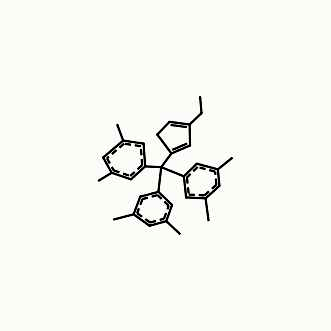 CCC1=CCC(C(c2cc(C)cc(C)c2)(c2cc(C)cc(C)c2)c2cc(C)cc(C)c2)=C1